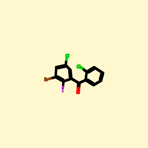 O=C(c1ccccc1Cl)c1cc(Cl)cc(Br)c1I